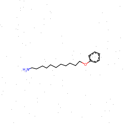 NCCCCCCCCCCCOc1cc[c]cc1